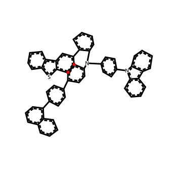 c1ccc(N(c2ccc(-c3ccc(-c4cccc5ccccc45)cc3)cc2)c2ccc(-n3c4ccccc4c4ccccc43)cc2)c(-c2ccc3sc4ccccc4c3c2)c1